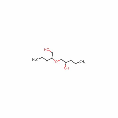 CCCC(O)COC(CO)CCC